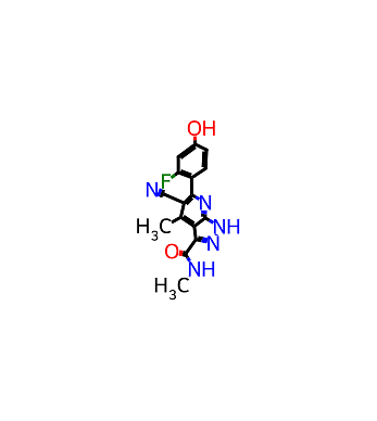 CNC(=O)c1n[nH]c2nc(-c3ccc(O)cc3F)c(C#N)c(C)c12